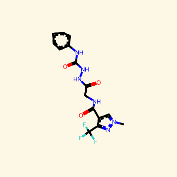 Cn1cc(C(=O)NCC(=O)NNC(=O)Nc2ccccc2)c(C(F)(F)F)n1